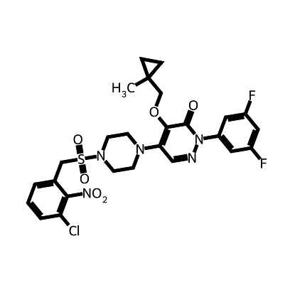 CC1(COc2c(N3CCN(S(=O)(=O)Cc4cccc(Cl)c4[N+](=O)[O-])CC3)cnn(-c3cc(F)cc(F)c3)c2=O)CC1